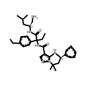 CCc1ccc(C(CC)(NC(=O)c2cnn3c2N[C@@H](c2ccccc2)CC3(C)C)C(=O)N[C@H](CN)CC(C)C)cc1